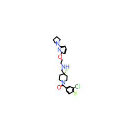 O=C(c1ccc(F)c(Cl)c1)N1CCC(F)(CNCCOc2cccc(N3CCCC3)n2)CC1